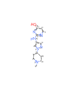 CN1CCC(n2cc(Nc3nccc(O)n3)cn2)CC1